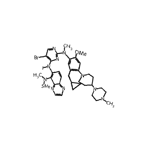 COc1cc(N2CCC(N3CCN(C)CC3)CC2)c(CC2CC2)cc1N(C)c1ncc(Br)c(N(I)c2ccc3nccnc3c2N(C)SC)n1